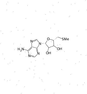 CSC[C@H]1O[C@@H](n2cnc3c(N)ncnc32)C(O)C1O